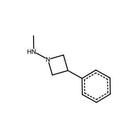 CNN1CC(c2ccccc2)C1